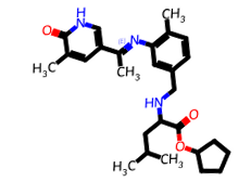 C/C(=N\c1cc(CNC(CC(C)C)C(=O)OC2CCCC2)ccc1C)c1c[nH]c(=O)c(C)c1